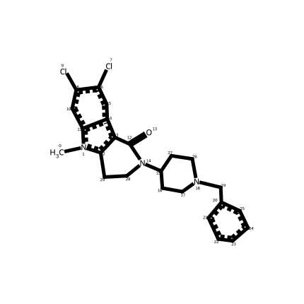 Cn1c2c(c3cc(Cl)c(Cl)cc31)C(=O)N(C1CCN(Cc3ccccc3)CC1)CC2